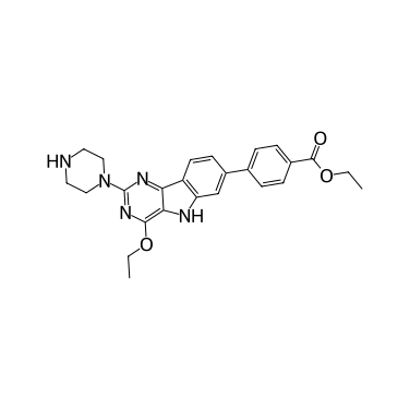 CCOC(=O)c1ccc(-c2ccc3c(c2)[nH]c2c(OCC)nc(N4CCNCC4)nc23)cc1